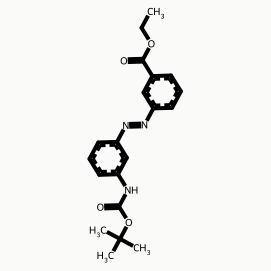 CCOC(=O)c1cccc(N=Nc2cccc(NC(=O)OC(C)(C)C)c2)c1